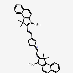 CCCCN1/C(=C/C=C2C=C(/C=C/C3=[N+](CCCC)c4ccc5ccccc5c4C3(C)C)CC/2)C(C)(C)c2c1ccc1ccccc21